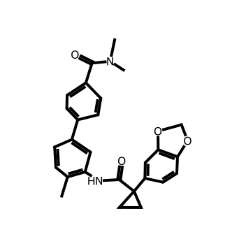 Cc1ccc(-c2ccc(C(=O)N(C)C)cc2)cc1NC(=O)C1(c2ccc3c(c2)OCO3)CC1